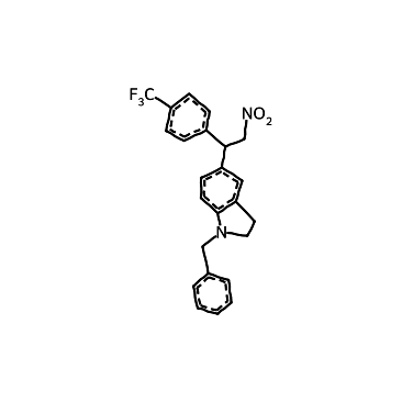 O=[N+]([O-])CC(c1ccc(C(F)(F)F)cc1)c1ccc2c(c1)CCN2Cc1ccccc1